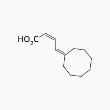 O=C(O)/C=C\C=C1CCCCCCC1